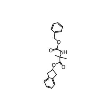 CC(C)(NC(=O)OCc1ccccc1)C(=O)OC1Cc2ccccc2C1